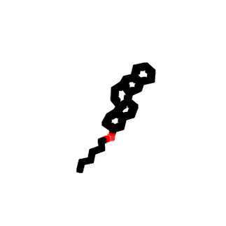 CCCCCCOc1ccc2c(ccc3c4cc5ccccc5cc4ccc23)c1